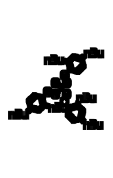 CCCCc1ccc(OOP(=O)(OOc2ccc(CCCC)cc2CCCC)OOc2ccc(CCCC)cc2CCCC)c(CCCC)c1